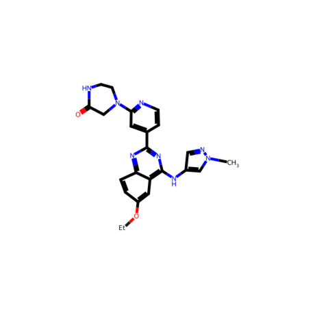 CCOc1ccc2nc(-c3ccnc(N4CCNC(=O)C4)c3)nc(Nc3cnn(C)c3)c2c1